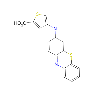 O=C(O)c1cc(/N=c2\ccc3nc4ccccc4sc-3c2)cs1